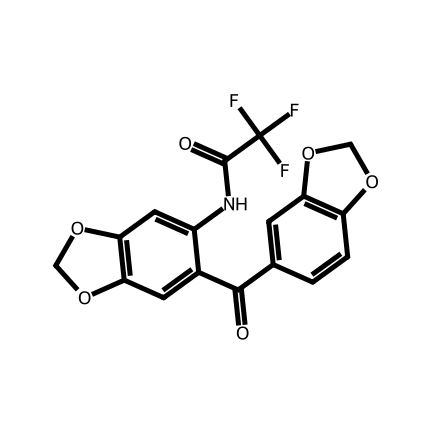 O=C(c1ccc2c(c1)OCO2)c1cc2c(cc1NC(=O)C(F)(F)F)OCO2